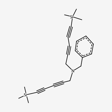 C[Si](C)(C)C#CC#CCN(CC#CC#C[Si](C)(C)C)Cc1ccccc1